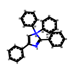 C1=C(c2ccccc2)N=C(c2ccccc2)[N+]1(c1ccccc1)c1ccccc1